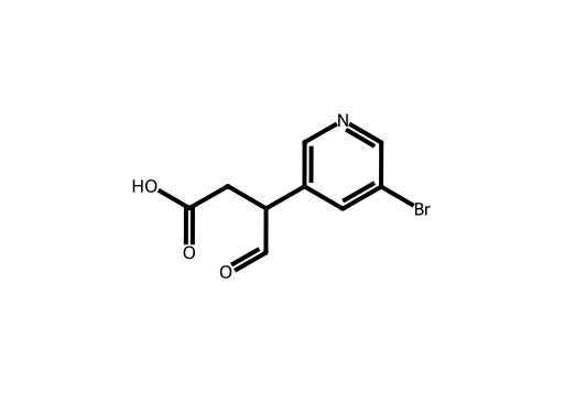 O=CC(CC(=O)O)c1cncc(Br)c1